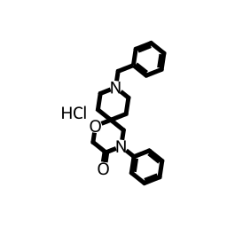 Cl.O=C1COC2(CCN(Cc3ccccc3)CC2)CN1c1ccccc1